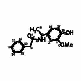 COc1cc(C(C)NC(=O)Cc2ccccc2)ccc1O